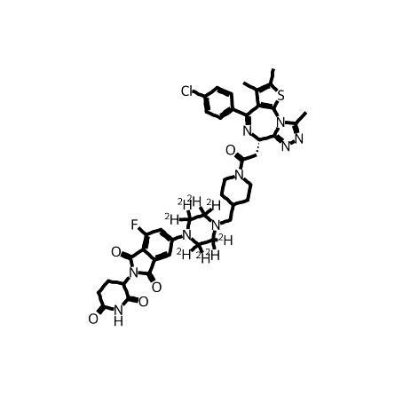 [2H]C1([2H])N(CC2CCN(C(=O)C[C@@H]3N=C(c4ccc(Cl)cc4)c4c(sc(C)c4C)-n4c(C)nnc43)CC2)C([2H])([2H])C([2H])([2H])N(c2cc(F)c3c(c2)C(=O)N(C2CCC(=O)NC2=O)C3=O)C1([2H])[2H]